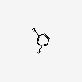 [O-][n+]1[c]c(Cl)ccc1